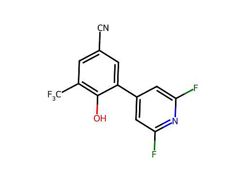 N#Cc1cc(-c2cc(F)nc(F)c2)c(O)c(C(F)(F)F)c1